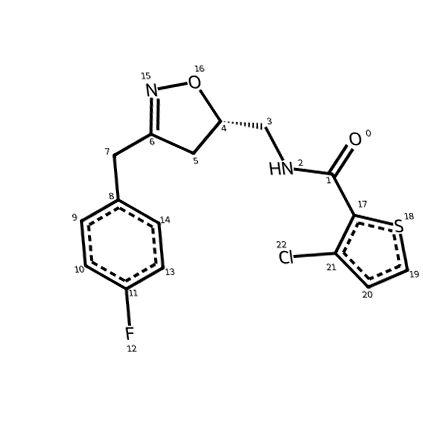 O=C(NC[C@@H]1CC(Cc2ccc(F)cc2)=NO1)c1sccc1Cl